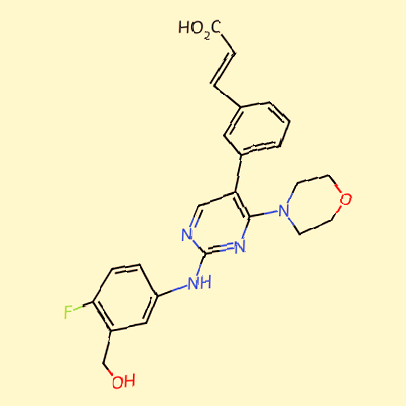 O=C(O)/C=C/c1cccc(-c2cnc(Nc3ccc(F)c(CO)c3)nc2N2CCOCC2)c1